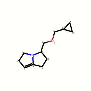 C1=C2CCC(COCC3CC3)N2CC1